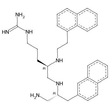 N=C(N)NCCC[C@H](CN[C@@H](CN)Cc1ccc2ccccc2c1)NCCc1cccc2ccccc12